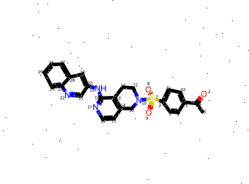 CC(=O)c1ccc(S(=O)(=O)N2CCc3c(ccnc3Nc3cnc4ccccc4c3)C2)cc1